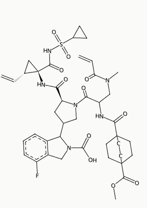 C=CC(=O)N(C)CC(NC(=O)C12CCC(C(=O)OC)(CC1)CC2)C(=O)N1CC(C2c3cccc(F)c3CN2C(=O)O)C[C@H]1C(=O)N[C@]1(C(=O)NS(=O)(=O)C2CC2)C[C@H]1C=C